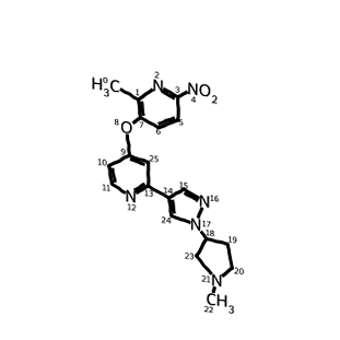 Cc1nc([N+](=O)[O-])ccc1Oc1ccnc(-c2cnn(C3CCN(C)C3)c2)c1